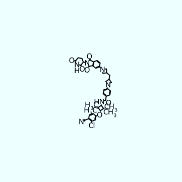 CC1(C)[C@H](NC(=O)c2ccc(N3CC(CC4CN(c5ccc6c(c5)C(=O)N(C5CCC(=O)NC5=O)C6=O)C4)C3)cc2)C(C)(C)[C@H]1Oc1ccc(C#N)c(Cl)c1